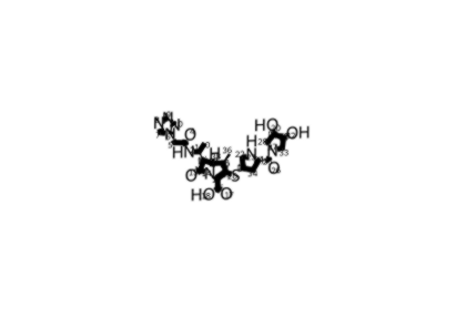 CC(NC(=O)Cn1cnnn1)[C@H]1C(=O)N2C(C(=O)O)=C(S[C@@H]3CN[C@H](C(=O)N4C[C@@H](O)[C@H](O)C4)C3)[C@H](C)[C@H]12